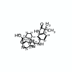 CC1(C)C(=O)Nc2cc(NC3=N[N+]4(N5CCC[C@@H]5C(=O)O)C=CN=CC4=N3)ccc21